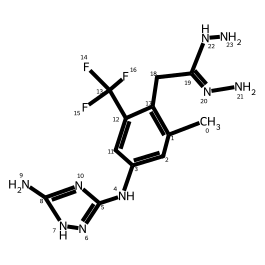 Cc1cc(Nc2n[nH]c(N)n2)cc(C(F)(F)F)c1C/C(=N/N)NN